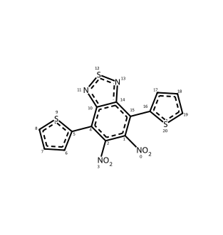 O=[N+]([O-])c1c([N+](=O)[O-])c(-c2cccs2)c2nsnc2c1-c1cccs1